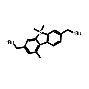 Cc1cc(CC(C)(C)C)cc2c1-c1ccc(CC(C)(C)C)cc1S2(C)C